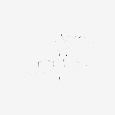 COc1ccc(CN2OC[C@@H]3C[C@@H](OC)C[C@@]32c2cccc(Br)c2)c(OC)c1